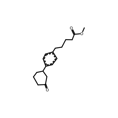 COC(=O)CCCCc1ccc(C2CCCC(=O)C2)cc1